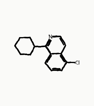 Clc1cccc2c(C3CCCCC3)nccc12